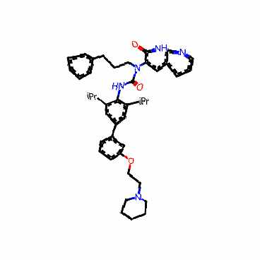 CC(C)c1cc(-c2cccc(OCCN3CCCCC3)c2)cc(C(C)C)c1NC(=O)N(CCCc1ccccc1)c1cc2cccnc2[nH]c1=O